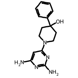 Nc1cc(N2CCC(O)(c3ccccc3)CC2)nc(N)n1